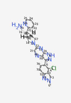 Cn1cc2c(Cl)c(-c3n[nH]c4nc(N5C[C@@H]6[C@H](C5)[C@]6(CN)c5ccccn5)cnc34)ccc2n1